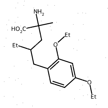 CCOc1ccc(CC(CC)CC(C)(N)C(=O)O)c(OCC)c1